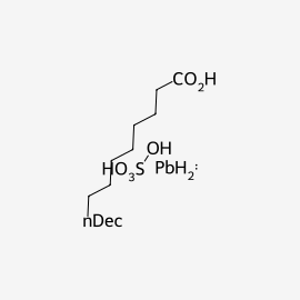 CCCCCCCCCCCCCCCCCC(=O)O.O=S(=O)(O)O.[PbH2]